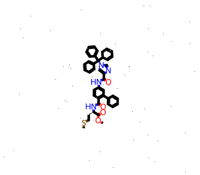 COC(=O)[C@H](CCSC)NC(=O)c1ccc(NC(=O)c2cn(C(c3ccccc3)(c3ccccc3)C3C=CC=CC3)cn2)cc1-c1ccccc1